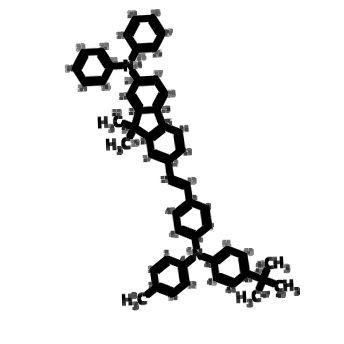 Cc1ccc(N(c2ccc(/C=C/c3ccc4c(c3)C(C)(C)c3cc(N(c5ccccc5)c5ccccc5)ccc3-4)cc2)c2ccc(C(C)(C)C)cc2)cc1